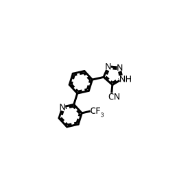 N#Cc1[nH]nnc1-c1cccc(-c2ncccc2C(F)(F)F)c1